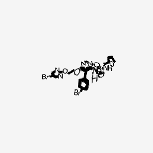 O=S(=O)(NCc1ccco1)Nc1ncnc(OCCOc2ncc(Br)cn2)c1-c1ccc(Br)cc1